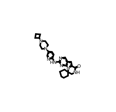 O=C1NCC2(CCCCC2)n2c1cc1cnc(Nc3ccc(N4CCN(C5CCC5)CC4)cn3)nc12